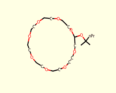 CCCC(C)(C)OC1COCCOCCOCCOCCOCCOCCOCCO1